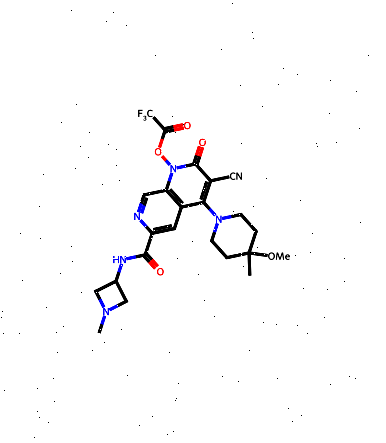 COC1(C)CCN(c2c(C#N)c(=O)n(OC(=O)C(F)(F)F)c3cnc(C(=O)NC4CN(C)C4)cc23)CC1